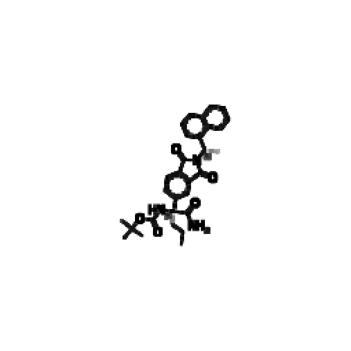 CCC[C@@](NC(=O)OC(C)(C)C)(C(N)=O)c1ccc2c(c1)C(=O)N([C@@H](C)c1cccc3ccccc13)C2=O